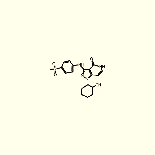 CS(=O)(=O)c1ccc(Nc2nn([C@H]3CCCCC3C#N)c3cc[nH]c(=O)c23)cc1